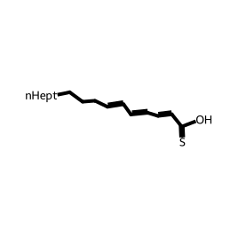 CCCCCCCCCCC=CC=CC=CC(O)=S